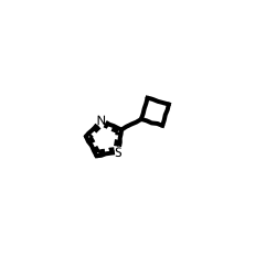 c1csc(C2CCC2)n1